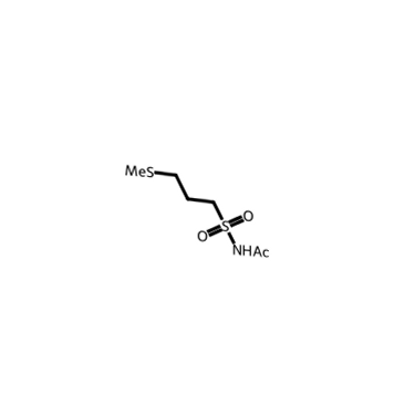 CSCCCS(=O)(=O)NC(C)=O